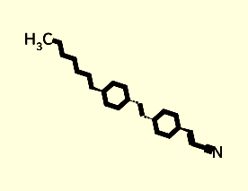 CCCCCCC[C@H]1CC[C@H](CC[C@H]2CC[C@H](C=CC#N)CC2)CC1